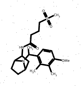 COc1ccc(C(C)N2C3CCC2C(NC(=O)CCCS(C)(=O)=O)C3)c(C)c1C